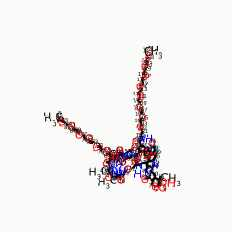 CC[C@@]1(O)C(=O)OCc2c1cc1n(c2=O)Cc2c-1nc1cc(F)c3c(c1c2CNC(=O)COCNC(=O)[C@H](C)NC(=O)[C@H](C)NC(=O)[C@H](C)NC(=O)CCCOc1c(C(=O)NCCOCCOCCOCCOCCOCCOCCOCCOC)cc(N2C(=O)C=CC2=O)cc1C(=O)NCCOCCOCCOCCOCCOCCOCCOCCOC)CCC3